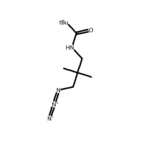 CC(C)(CN=[N+]=[N-])CNC(=O)C(C)(C)C